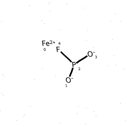 [Fe+2].[O-]P([O-])F